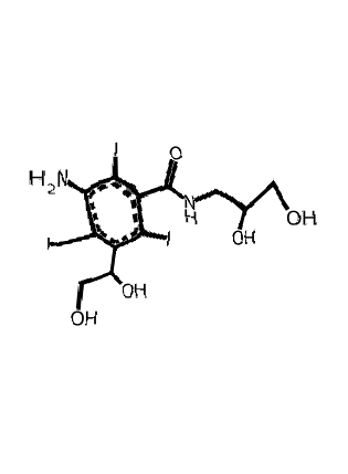 Nc1c(I)c(C(=O)NCC(O)CO)c(I)c(C(O)CO)c1I